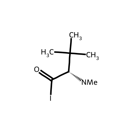 CN[C@H](C(=O)I)C(C)(C)C